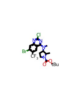 CC1C(N(C)c2nc(Cl)nc3cc(Br)c(C(F)(F)F)cc23)CCN1C(=O)OC(C)(C)C